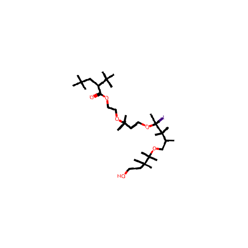 CC(COC(C)(C)C(C)(C)CCO)C(C)(C)C(C)(I)OCCC(C)(C)OCCOC(=O)C(CC(C)(C)C)C(C)(C)C